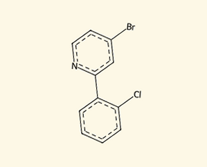 Clc1ccccc1-c1cc(Br)ccn1